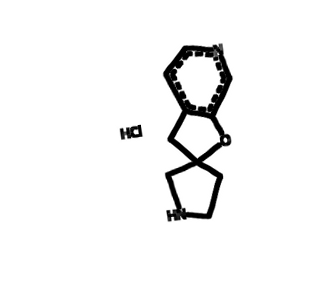 Cl.c1cc2c(cn1)OC1(CCNC1)C2